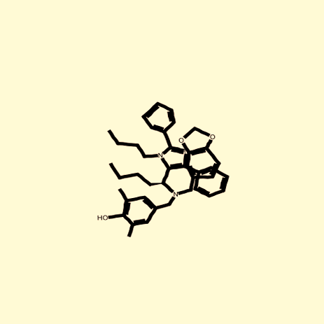 CCCC[C@@H](c1c(-c2ccccc2)nc(-c2ccccc2)n1CCCC)N(Cc1cc(C)c(O)c(C)c1)Cc1ccc2c(c1)OCO2